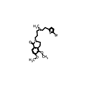 COc1ccc2c(c1OC)CCN(CCCN(C)CCc1ccc(Br)s1)C2=O